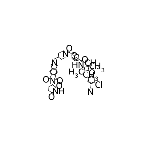 CC1(C)C(NC(=O)C23CCC(C(=O)N4CCC(CN5Cc6cc7c(cc6C5)C(=O)N(C5CCC(=O)NC5=O)C7=O)CC4)(CC2)CC3)C(C)(C)C1Oc1ccc(C#N)c(Cl)c1